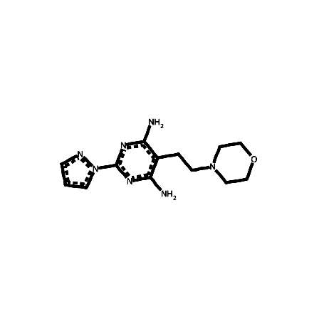 Nc1nc(-n2cccn2)nc(N)c1CCN1CCOCC1